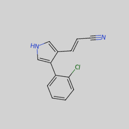 N#CC=Cc1c[nH]cc1-c1ccccc1Cl